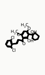 COc1cc(OC)c(C2(O)CCCCC2)c(O)c1C(=O)C=Cc1c(Cl)cccc1Cl